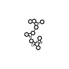 c1ccc(-n2c3ccc(-c4ccc5c(c4)c4ccccc4n5-c4ccc5oc6c7ccccc7c7nc8ccccc8n7c6c5c4)cc3c3c4ccccc4ccc32)cc1